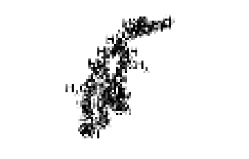 Cc1cc(Cc2nc(Cc3ccc(N=Nc4ccc(N=Nc5ccccc5)cc4S(=O)(=O)O)c(C)c3)nc(NCCCNc3nc(Nc4ccc(N=Nc5ccc(N=Nc6ccc(S(=O)(=O)O)cc6)cc5)c(C)c4)nc(Nc4ccc(N=Nc5ccc(N=Nc6ccccc6)cc5S(=O)(=O)O)c(C)c4)n3)n2)ccc1N=Nc1ccc(N=Nc2ccc(S(=O)(=O)O)cc2)cc1